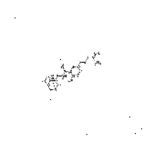 CN(C)CCCc1ccc(Cl)c(C(=O)NCC23CC4CC(CC(C4)C2)C3)c1